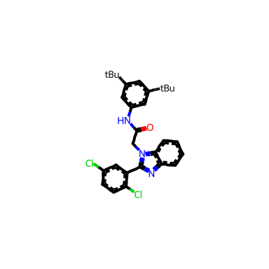 CC(C)(C)c1cc(NC(=O)Cn2c(-c3cc(Cl)ccc3Cl)nc3ccccc32)cc(C(C)(C)C)c1